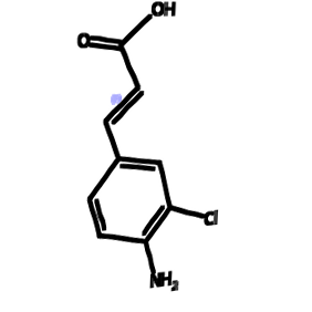 Nc1ccc(/C=C/C(=O)O)cc1Cl